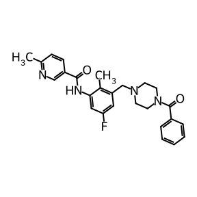 Cc1ccc(C(=O)Nc2cc(F)cc(CN3CCN(C(=O)c4ccccc4)CC3)c2C)cn1